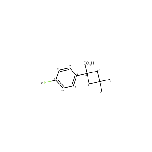 CC1(C)CC(C(=O)O)(c2ccc(F)cc2)C1